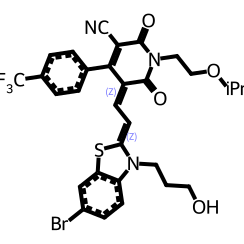 CC(C)OCCN1C(=O)C(C#N)=C(c2ccc(C(F)(F)F)cc2)/C(=C/C=C2\Sc3cc(Br)ccc3N2CCCO)C1=O